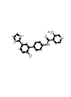 Cc1cnccc1C(=O)Nc1ccc(-c2cc(-c3ncco3)ccc2Cl)cc1